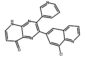 O=c1cc[nH]c2nc(-c3cccnc3)c(-c3cc(Cl)c4ncccc4c3)nc12